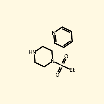 CCS(=O)(=O)N1CCNCC1.c1ccncc1